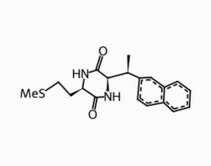 CSCC[C@H]1NC(=O)[C@@H]([C@@H](C)c2ccc3ccccc3c2)NC1=O